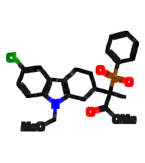 COCn1c2c(c3cc(Cl)ccc31)CCC(C(C)(C(=O)OC)S(=O)(=O)c1ccccc1)C2